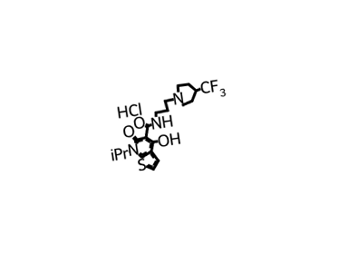 CC(C)n1c(=O)c(C(=O)NCCCN2CCC(C(F)(F)F)CC2)c(O)c2ccsc21.Cl